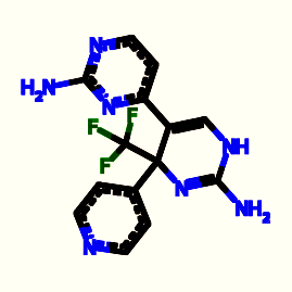 NC1=NC(c2ccncc2)(C(F)(F)F)C(c2ccnc(N)n2)=CN1